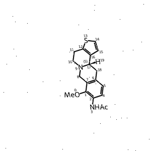 COc1c(NC(C)=O)ccc2c1CN1CCc3sccc3[C@@H]1C2